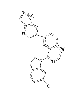 Clc1ccc2c(c1)N(c1ncnc3ccc(-c4cnc5cn[nH]c5c4)cc13)CC2